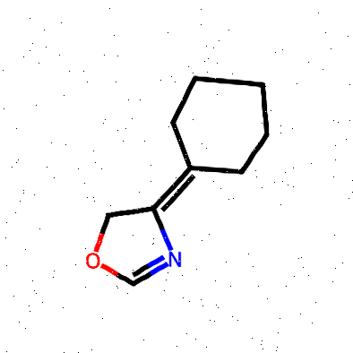 C1=NC(=C2CCCCC2)CO1